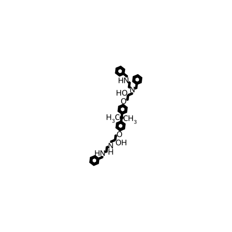 CC(C)(c1ccc(OCC(O)CNCCNCc2ccccc2)cc1)c1ccc(OCC(O)CN(CCNCc2ccccc2)Cc2ccccc2)cc1